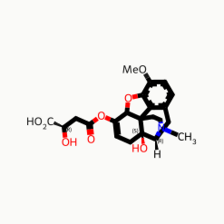 COc1ccc2c3c1OC1C(OC(=O)C[C@@H](O)C(=O)O)=CC[C@@]4(O)[C@@H](C2)N(C)CCC314